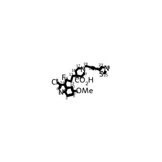 COc1ccc2ncc(Cl)c(C(F)CCC3(C(=O)O)CCN(CC#Cc4cncs4)CC3)c2c1